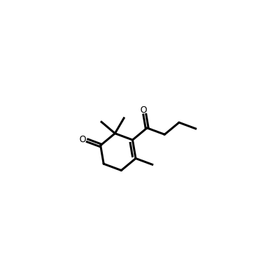 CCCC(=O)C1=C(C)CCC(=O)C1(C)C